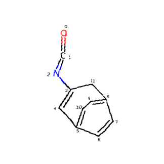 O=C=NC1=Cc2ccc(cc2)C1